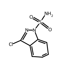 NS(=O)(=O)n1nc(Cl)c2ccccc21